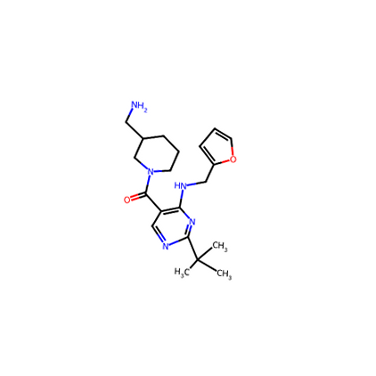 CC(C)(C)c1ncc(C(=O)N2CCCC(CN)C2)c(NCc2ccco2)n1